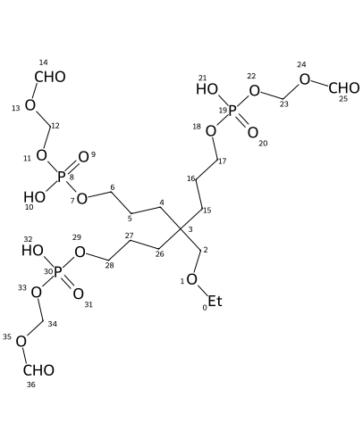 CCOCC(CCCOP(=O)(O)OCOC=O)(CCCOP(=O)(O)OCOC=O)CCCOP(=O)(O)OCOC=O